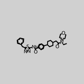 CCN(C(=O)CC1CCC(c2ccc(C(=O)Nc3nnc(Cc4ccccc4)s3)cc2)CC1)N1CCOCC1